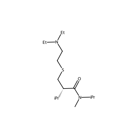 CCN(CC)CCSC[C@H](C(=O)N(C)C(C)C)C(C)C